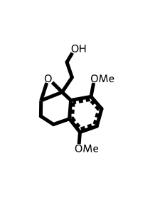 COc1ccc(OC)c2c1CCC1OC21CCO